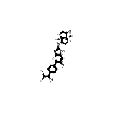 OC(c1ccc(-c2nc3nc(O[C@@H]4CO[C@H]5[C@@H]4OC[C@H]5O)[nH]c3cc2Cl)cc1)C(F)F